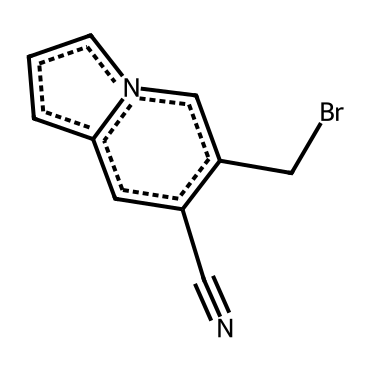 N#Cc1cc2cccn2cc1CBr